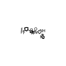 O=C(N[C@H]1CN[C@H](Cn2cccn2)C1)c1ncc(-c2cccc(C(F)(F)F)c2)o1